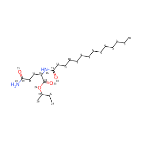 CCCCCCCCCCCCCC(=O)NC(CCC(N)=O)C(=O)OC(C)CC